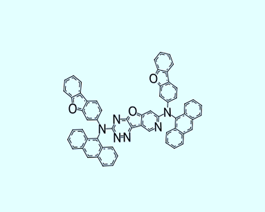 c1ccc2c(N(c3ccc4c(c3)oc3ccccc34)c3cc4oc5nc(N(c6ccc7c(c6)oc6ccccc67)c6c7ccccc7cc7ccccc67)nnc5c4cn3)c3ccccc3cc2c1